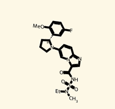 CCN(C)S(=O)(=O)NC(=O)c1cnc2ccc(N3CCC[C@@H]3c3cc(F)ccc3OC)cn12